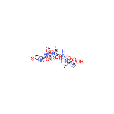 CC[C@H](C)[C@@H](NC(=O)[C@@H](NC(=O)OC(C)(C)C)[C@@H](C)OC(=O)[C@H](Cc1ccc(OC)cc1)NC)[C@@H](O)CC(=O)NC(C)(C)C(=O)N[C@@H](CC(C)C)C(=O)N1CCC[C@H]1C(=O)O